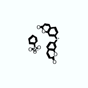 O=S(=O)([O-])c1ccccc1.O=c1ccc2ccc([I+]c3ccc4ccc(=O)oc4c3)cc2o1